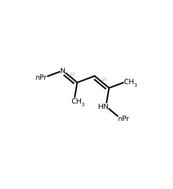 CCC/N=C(C)/C=C(/C)NCCC